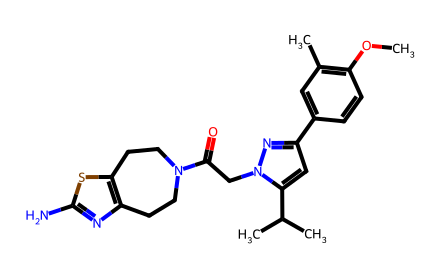 COc1ccc(-c2cc(C(C)C)n(CC(=O)N3CCc4nc(N)sc4CC3)n2)cc1C